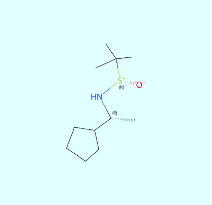 C[C@@H](N[S@@+]([O-])C(C)(C)C)C1CCCC1